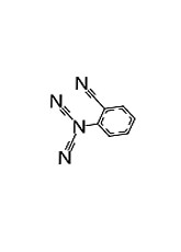 N#Cc1ccccc1N(C#N)C#N